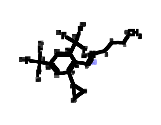 CCCC/N=C/c1c(C2CC2)cc(C(F)(F)F)cc1C(F)(F)F